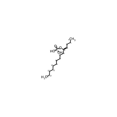 CCCC=C(CCCCCCCCCC)OP(=O)(O)O